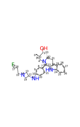 C[C@@H](CO)CN1[C@H](c2ccc(NC3CN(CCCF)C3)cc2)c2[nH]c3ccccc3c2C[C@H]1C